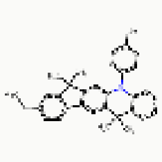 COCc1ccc2c(c1)C(C)(C)c1cc3c(cc1-2)C(C)(C)c1ccccc1N3c1ccc(C(C)(C)C)cc1